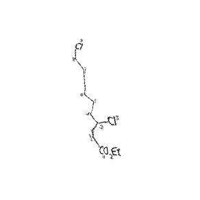 CCOC(=O)CC(Cl)CCCCCCl